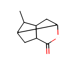 CC1C2CC3C(=O)OC2CC31